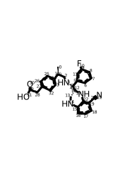 C[C@@H](CN[C@H](c1cccc(F)c1)[C@H]1CNc2cccc(C#N)c2N1)c1ccc(CC(=O)O)cc1